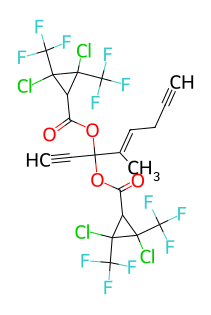 C#CCC=C(C)C(C#C)(OC(=O)C1C(Cl)(C(F)(F)F)C1(Cl)C(F)(F)F)OC(=O)C1C(Cl)(C(F)(F)F)C1(Cl)C(F)(F)F